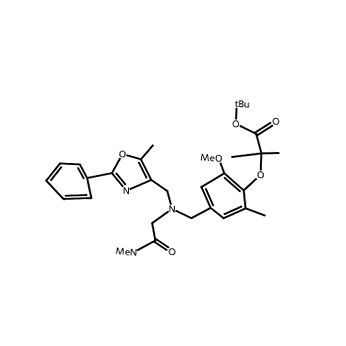 CNC(=O)CN(Cc1cc(C)c(OC(C)(C)C(=O)OC(C)(C)C)c(OC)c1)Cc1nc(-c2ccccc2)oc1C